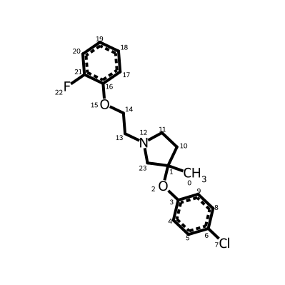 CC1(Oc2ccc(Cl)cc2)CCN(CCOc2ccccc2F)C1